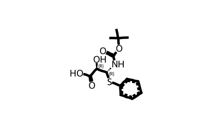 CC(C)(C)OC(=O)N[C@H](Sc1ccccc1)[C@H](O)C(=O)O